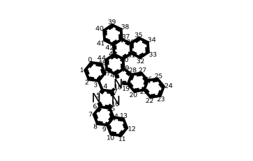 c1ccc(-c2nc3ccc4ccccc4c3nc2-n2c3cc4ccccc4cc3c3c4c5ccccc5c5ccccc5c4ccc32)cc1